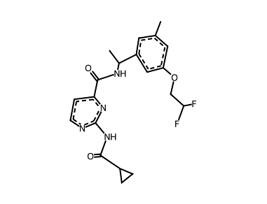 Cc1cc(OCC(F)F)cc(C(C)NC(=O)c2ccnc(NC(=O)C3CC3)n2)c1